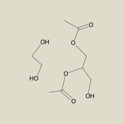 CC(=O)OCC(CO)OC(C)=O.OCCO